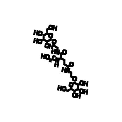 O=C(O)NC(CCC(=O)NCCO[C@H]1O[C@H](CO)[C@@H](O)[C@H](O)[C@@H]1O)C(=O)NCCO[C@H]1O[C@H](CO)[C@@H](O)[C@H](O)[C@@H]1O